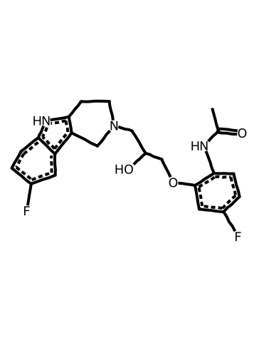 CC(=O)Nc1ccc(F)cc1OCC(O)CN1CCc2[nH]c3ccc(F)cc3c2C1